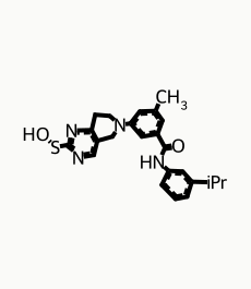 Cc1cc(C(=O)Nc2cccc(C(C)C)c2)cc(N2CCc3nc(SO)ncc3C2)c1